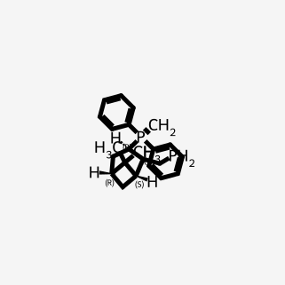 C=P(c1ccccc1)(c1ccccc1)[C@@H]1C[C@H]2C[C@@H]([C@@H]1CP)C2(C)C